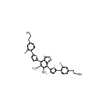 CCC(C)CCc1ccc(-c2ccc(-c3c([N+](=O)[O-])c([N+](=O)[O-])c(-c4ccc(-c5ccc(CCC(C)CC)cc5F)s4)c4nsnc34)s2)c(F)c1